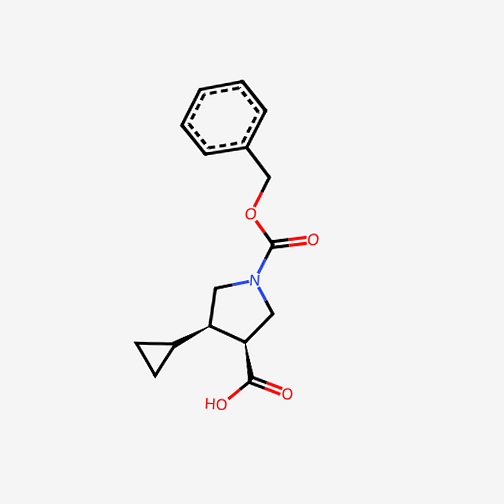 O=C(O)[C@@H]1CN(C(=O)OCc2ccccc2)C[C@@H]1C1CC1